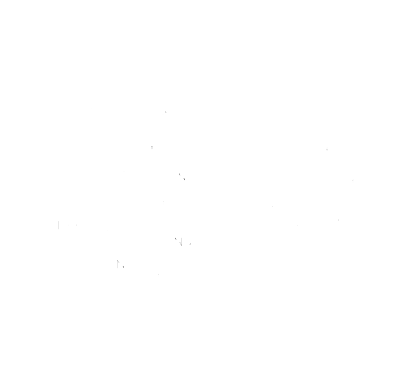 Oc1ncnc2c1c1c(n2CCc2ccccc2)CCCC1